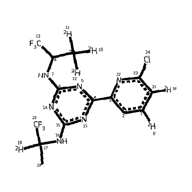 [2H]c1cc(-c2nc(NC(C([2H])([2H])[2H])C(F)(F)F)nc(NC([2H])(C)C(F)(F)F)n2)nc(Cl)c1[2H]